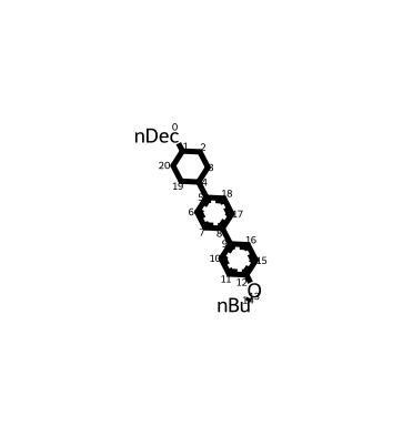 CCCCCCCCCCC1CCC(c2ccc(-c3ccc(OCCCC)cc3)cc2)CC1